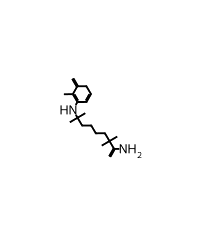 C=C1CC=CC(NC(C)(C)CCCCC(C)(C)C(=C)N)=C1C